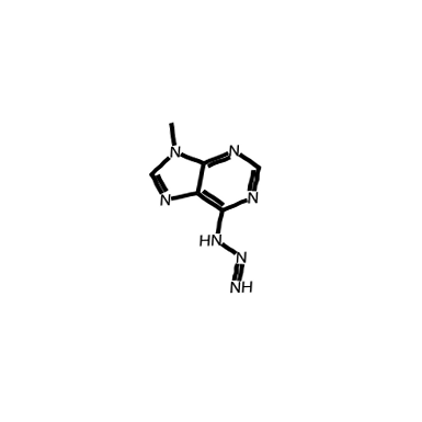 Cn1cnc2c(NN=N)ncnc21